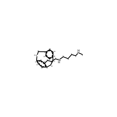 CNCCCCNCCCc1cc2ccc1CCc1ccc(cc1)CC2